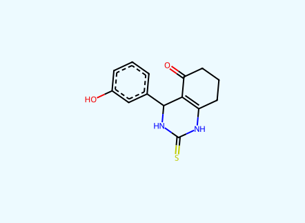 O=C1CCCC2=C1C(c1cccc(O)c1)NC(=S)N2